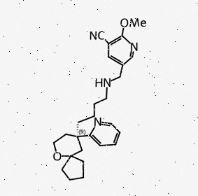 COc1ncc(CNCCCC[C@@]2(c3ccccn3)CCOC3(CCCC3)C2)cc1C#N